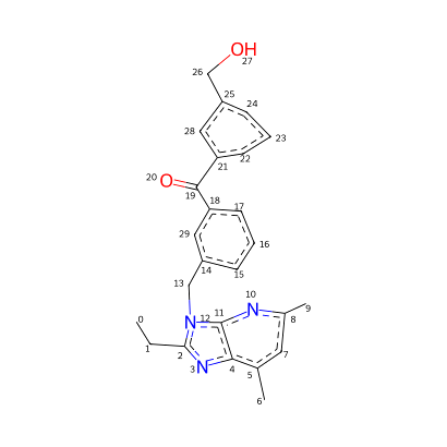 CCc1nc2c(C)cc(C)nc2n1Cc1cccc(C(=O)c2cccc(CO)c2)c1